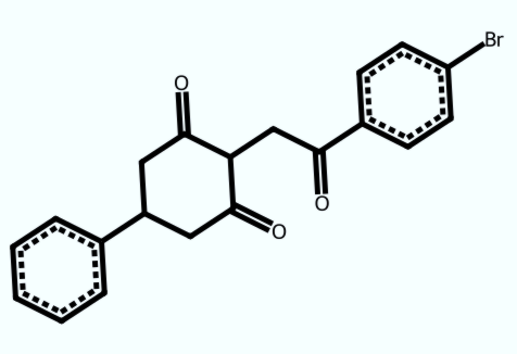 O=C(CC1C(=O)CC(c2ccccc2)CC1=O)c1ccc(Br)cc1